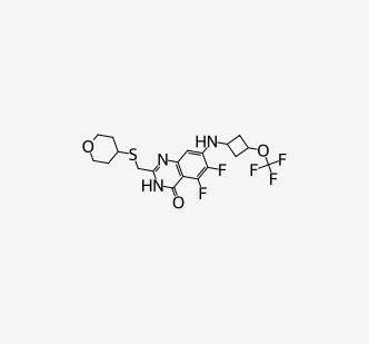 O=c1[nH]c(CSC2CCOCC2)nc2cc(NC3CC(OC(F)(F)F)C3)c(F)c(F)c12